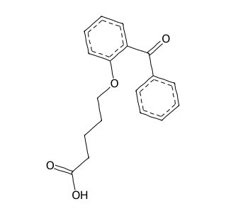 O=C(O)CCCCOc1ccccc1C(=O)c1ccccc1